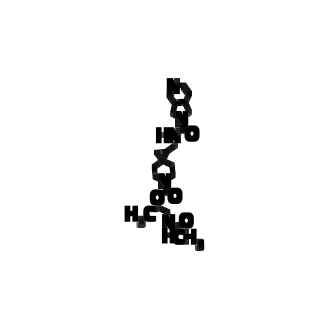 CC(=O)NCC(C)OC(=O)N1CCC2(CC1)CC2CNC(=O)N1Cc2ccncc2C1